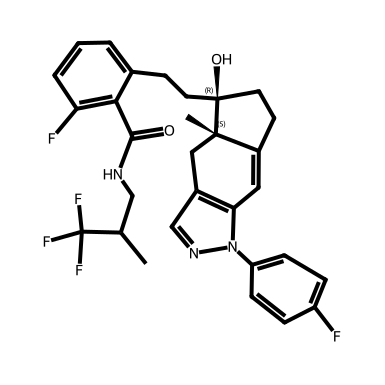 CC(CNC(=O)c1c(F)cccc1CC[C@]1(O)CCC2=Cc3c(cnn3-c3ccc(F)cc3)C[C@@]21C)C(F)(F)F